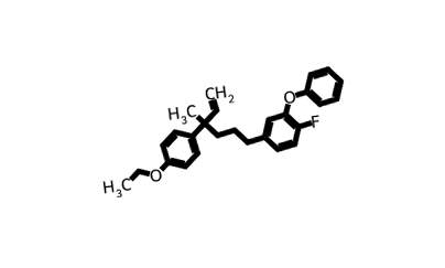 C=CC(C)(CCCc1ccc(F)c(Oc2ccccc2)c1)c1ccc(OCC)cc1